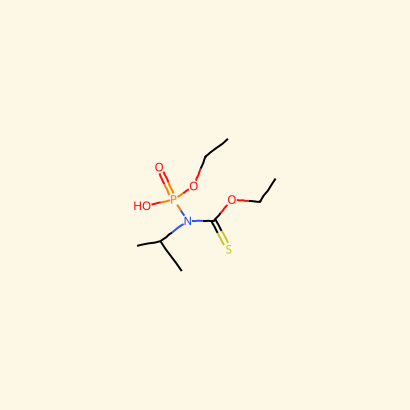 CCOC(=S)N(C(C)C)P(=O)(O)OCC